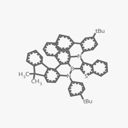 CC(C)(C)c1ccc(N2B3c4sc5ccccc5c4N(c4ccc(C(C)(C)C)cc4-c4ccccc4)c4cc5ccccc5c(c43)-c3c2ccc2c3-c3ccccc3C2(C)C)cc1